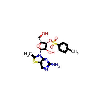 C=C1Sc2cnc(N)nc2N1[C@@H]1O[C@H](CO)[C@H](OS(=O)(=O)c2ccc(C)cc2)[C@H]1O